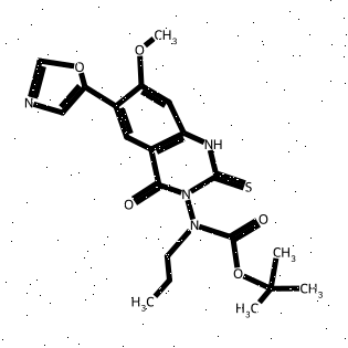 CCCN(C(=O)OC(C)(C)C)n1c(=S)[nH]c2cc(OC)c(-c3cnco3)cc2c1=O